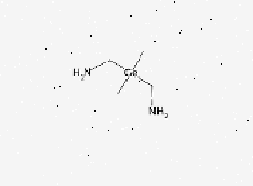 [CH3][Ge]([CH3])([CH2]N)[CH2]N